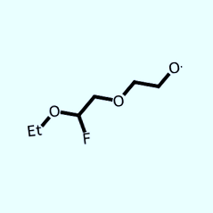 CCOC(F)COCC[O]